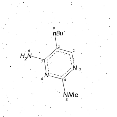 CCCCc1cnc(NC)nc1N